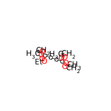 C=C(C)C(=O)Oc1ccc(-c2ccc(-c3ccc(-c4ccc(OC(=O)C(=C)C)c(OC(=O)CC)c4)cc3)cc2)c(OC(=O)C(=C)C)c1